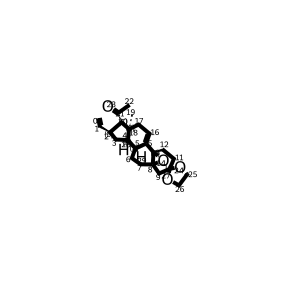 C=C[C@@H]1C[C@H]2[C@@H]3CCC45CC6(CC[C@]4(O5)C3=CC[C@]2(C)[C@H]1C(C)=O)OCCO6